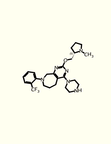 CN1CCC[C@H]1COc1nc2c(c(N3CCNCC3)n1)CCCN(c1ccccc1C(F)(F)F)C2